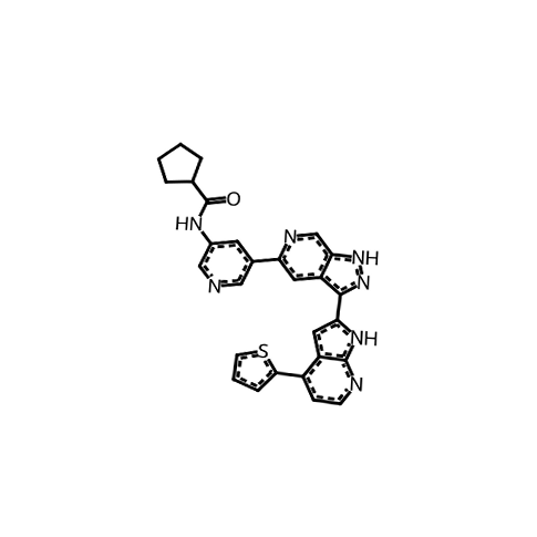 O=C(Nc1cncc(-c2cc3c(-c4cc5c(-c6cccs6)ccnc5[nH]4)n[nH]c3cn2)c1)C1CCCC1